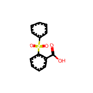 O=C(O)c1ccccc1S(=O)(=O)c1ccccc1